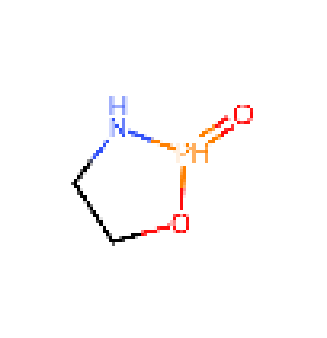 O=[PH]1NCCO1